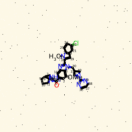 COc1cc(C(=O)N2CC3CCC2[C@@H]3N)cc2nc(-c3cc4cc(Cl)ccc4n3C)n(CC3CN(c4ncccn4)C3)c12